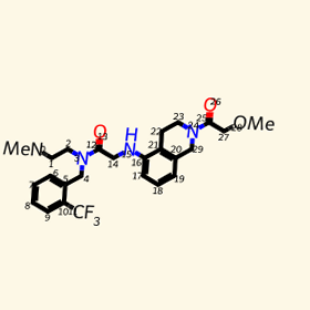 CNCCN(Cc1ccccc1C(F)(F)F)C(=O)CNc1cccc2c1CCN(C(=O)COC)C2